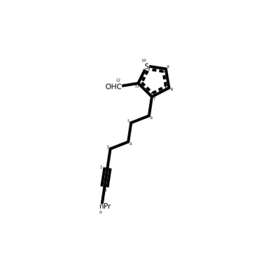 CCCC#CCCCCc1ccsc1C=O